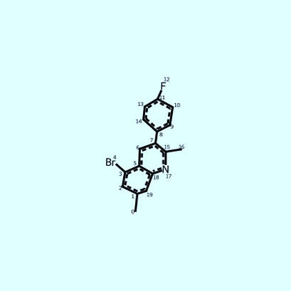 Cc1cc(Br)c2cc(-c3ccc(F)cc3)c(C)nc2c1